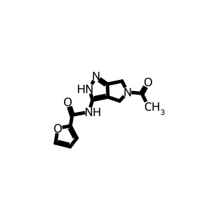 CC(=O)N1Cc2n[nH]c(NC(=O)c3ccco3)c2C1